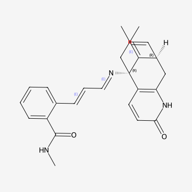 C/C=C1\[C@H]2C=C(C)C[C@]1(/N=C/C=C/c1ccccc1C(=O)NC)c1ccc(=O)[nH]c1C2